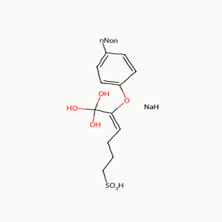 CCCCCCCCCc1ccc(OC(=CCCCS(=O)(=O)O)C(O)(O)O)cc1.[NaH]